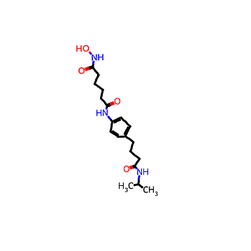 CC(C)NC(=O)CCCc1ccc(NC(=O)CCCCC(=O)NO)cc1